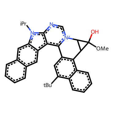 COC1(O)C2c3c(cc(C(C)(C)C)c4ccccc34)-c3c4c5cc6ccccc6cc5n(C(C)C)c4nc[n+]3C21